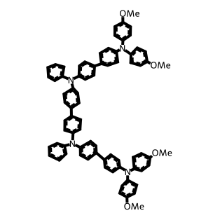 COc1ccc(N(c2ccc(OC)cc2)c2ccc(-c3ccc(N(c4ccccc4)c4ccc(-c5ccc(N(c6ccccc6)c6ccc(-c7ccc(N(c8ccc(OC)cc8)c8ccc(OC)cc8)cc7)cc6)cc5)cc4)cc3)cc2)cc1